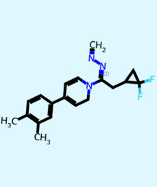 C=N/N=C(/CC1CC1(F)F)N1C=CC(c2ccc(C)c(C)c2)=CC1